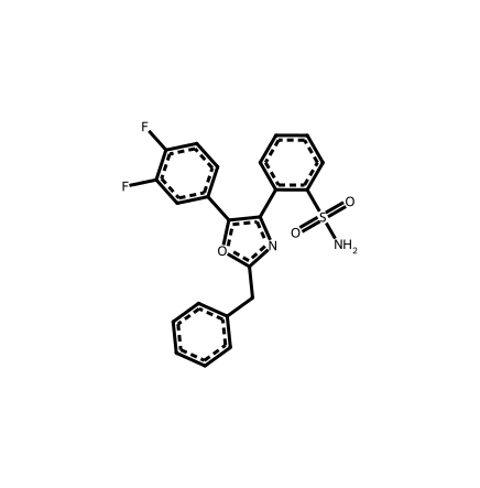 NS(=O)(=O)c1ccccc1-c1nc(Cc2ccccc2)oc1-c1ccc(F)c(F)c1